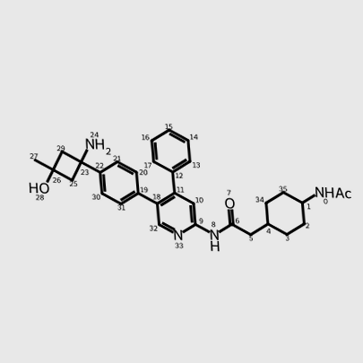 CC(=O)NC1CCC(CC(=O)Nc2cc(-c3ccccc3)c(-c3ccc(C4(N)CC(C)(O)C4)cc3)cn2)CC1